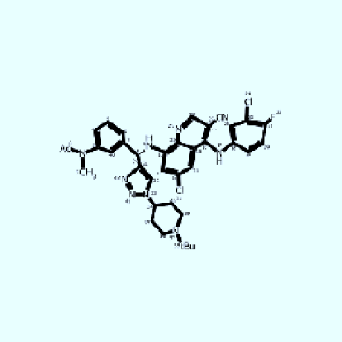 CC(=O)N(C)c1cccc([C@H](Nc2cc(Cl)cc3c(Nc4ccc(F)c(Cl)c4)c(C#N)cnc23)c2cn(C3CCN(C(C)(C)C)CC3)nn2)c1